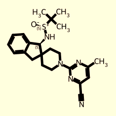 Cc1cc(C#N)nc(N2CCC3(CC2)Cc2ccccc2[C@H]3N[S@+]([O-])C(C)(C)C)n1